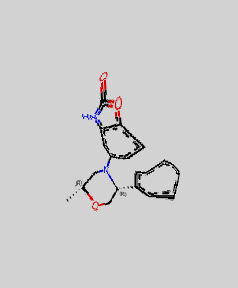 C[C@@H]1CN(c2ccc3oc(=O)[nH]c3c2)[C@H](c2ccccc2)CO1